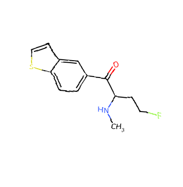 CNC(CCF)C(=O)c1ccc2sccc2c1